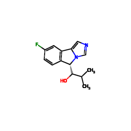 CC(C)C(O)[C@@H]1c2ccc(F)cc2-c2cncn21